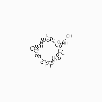 C/C=C(\C)[C@H]1OC(=O)[C@@H](C)NC(=O)[C@H]([C@H](C)CC)NC(=O)CN(C)C(=O)[C@@H](Cc2ccccc2)N(C)C(=O)[C@H](C)NC(=O)[C@@H](CC(C)C)OC(=O)/C(C)=C/C[C@H](OC(=O)NCCCO)[C@@H]1C